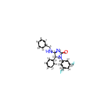 O=C1N=C(NCc2ccccc2)C(c2ccccc2)N1c1cc(F)cc(F)c1